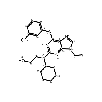 CCn1cnc2c(Nc3cccc(Cl)c3)nc(N(CCO)C3CCCCC3)nc21